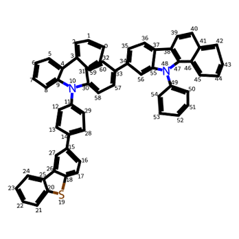 c1ccc(-c2ccccc2N(c2ccc(-c3ccc4sc5ccccc5c4c3)cc2)c2ccc(-c3ccc4c5ccc6ccccc6c5n(-c5ccccc5)c4c3)cc2)cc1